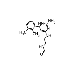 Cc1cccc(C2C=C(NCCNC=O)N=C(N)N2)c1C